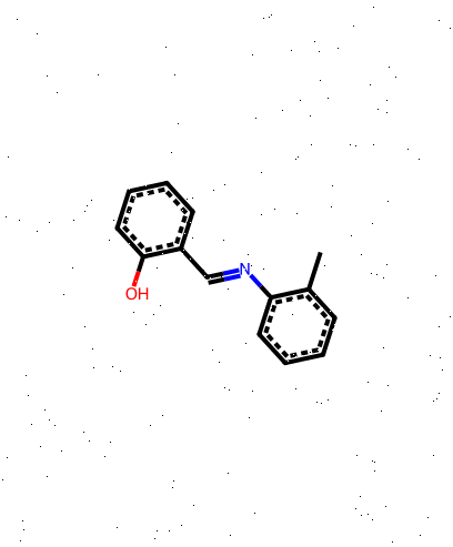 Cc1ccccc1/N=C/c1ccccc1O